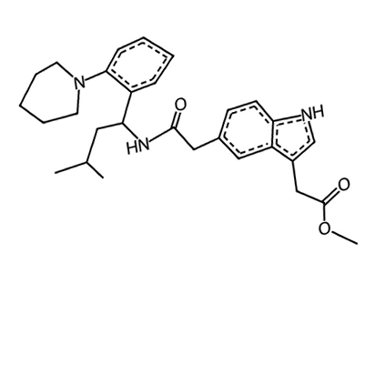 COC(=O)Cc1c[nH]c2ccc(CC(=O)NC(CC(C)C)c3ccccc3N3CCCCC3)cc12